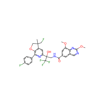 COc1ncc2cc(C(=O)NCC(O)(c3cc4c(c(-c5ccc(F)cc5)n3)OCC4(C)CF)C(F)(F)F)cc(OC)c2n1